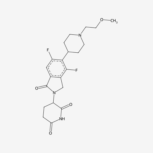 COCCN1CCC(c2c(F)cc3c(c2F)CN(C2CCC(=O)NC2=O)C3=O)CC1